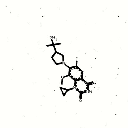 COc1c(N2CCC(C(C)(C)N)C2)c(F)cc2c(=O)[nH]c(=O)n(C3CC3)c12